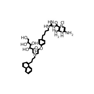 N=C(NCCCCc1ccc(OCCN(CCCc2cccc3ccccc23)C[C@H](O)[C@@H](O)[C@H](O)[C@H](O)CO)cc1)NC(=O)C1=C(N)NC(N)=CN1Cl